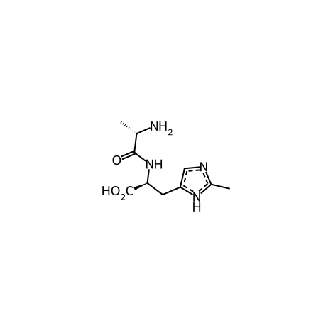 Cc1ncc(C[C@H](NC(=O)[C@H](C)N)C(=O)O)[nH]1